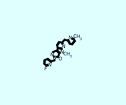 Cc1cccc(Cc2ccc3c4cnn(Cc5cccc(F)n5)c(=O)c4n(C)c3n2)n1